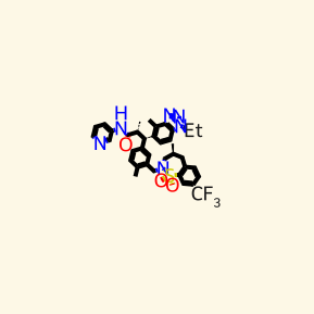 CCn1nnc2c(C)c([C@H](c3ccc(C)c(CN4C[C@@H](C)Cc5ccc(C(F)(F)F)cc5S4(=O)=O)c3)[C@@H](C)C(=O)Nc3cccnc3)ccc21